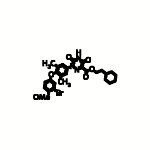 COc1ccc(Oc2c(C)cc(-n3nc(C(=O)OCCC4CCCCC4)c(=O)[nH]c3=O)cc2C)cc1Br